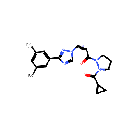 O=C(/C=C\n1cnc(-c2cc(C(F)(F)F)cc(C(F)(F)F)c2)n1)N1CCCN1C(=O)C1CC1